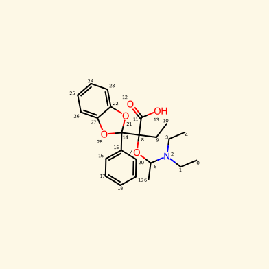 CCN(CC)C(C)OC(CC)(C(=O)O)C1(c2ccccc2)Oc2ccccc2O1